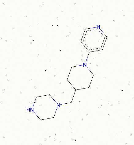 c1cc(N2CCC(CN3CCNCC3)CC2)ccn1